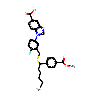 CCCCCC(SCc1cc(-n2cnc3cc(C(=O)O)ccc32)ccc1F)c1ccc(C(=O)OC)cc1